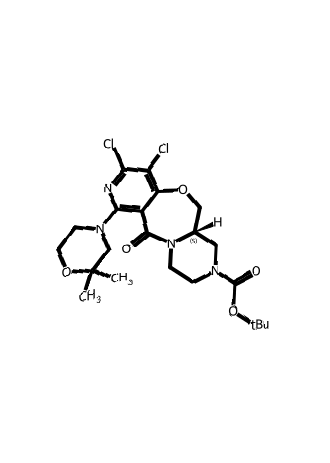 CC(C)(C)OC(=O)N1CCN2C(=O)c3c(N4CCOC(C)(C)C4)nc(Cl)c(Cl)c3OC[C@@H]2C1